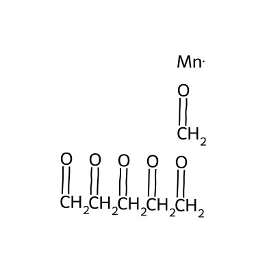 C=O.C=O.C=O.C=O.C=O.C=O.[Mn]